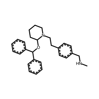 CNCc1ccc(CCN2CCCCC2OC(c2ccccc2)c2ccccc2)cc1